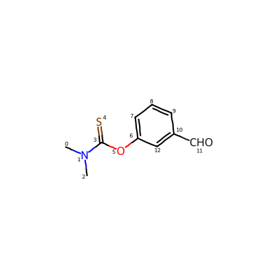 CN(C)C(=S)Oc1cccc(C=O)c1